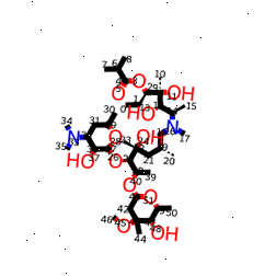 CC[C@@H](OC(=O)C(C)C)[C@@](C)(O)[C@H](O)[C@@H](C)N(C)C[C@H](C)C[C@@](C)(O)[C@H](OC1OC(C)CC(N(C)C)C1O)C(C)OC1CC(C)(OC)C(O)C(C)O1